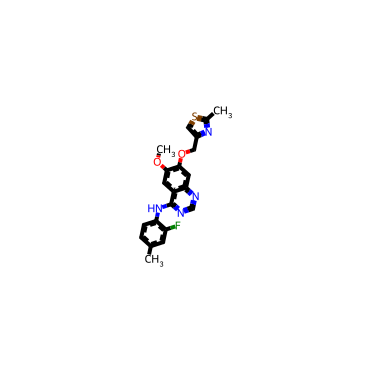 COc1cc2c(Nc3ccc(C)cc3F)ncnc2cc1OCc1csc(C)n1